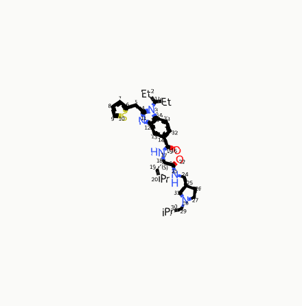 CCC(CC)n1c(Cc2cccs2)nc2cc(C(=O)N[C@@H](CC(C)C)C(=O)NCC3CCN(CC(C)C)C3)ccc21